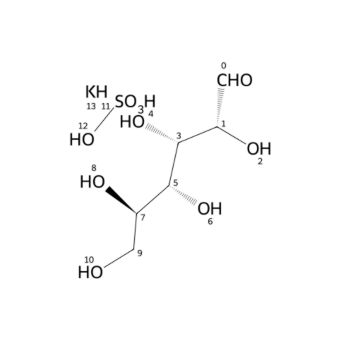 O=C[C@H](O)[C@@H](O)[C@H](O)[C@H](O)CO.O=S(=O)(O)O.[KH]